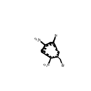 O=[N+]([O-])c1cc([N+](=O)[O-])c(Br)cc1Br